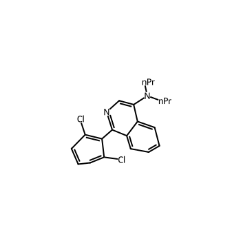 CCCN(CCC)c1cnc(-c2c(Cl)cccc2Cl)c2ccccc12